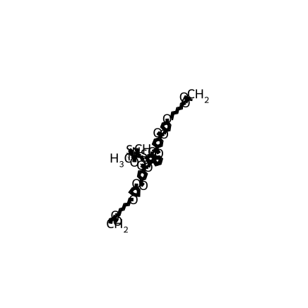 C=CC(=O)OCCCCCCOC1CCC(OC(=O)C2CCC(C(=O)Oc3c4c(c(OC(=O)C5CCC(C(=O)OC6CCC(OCCCCCCOC(=O)C=C)CC6)CC5)c5ccccc35)SC(=C3C(=O)N(C)C(=S)N3C)S4)CC2)CC1